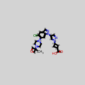 CC1(N2CCN(c3cc4c(cnn4-c4cnn(C5CC(C(=O)O)C5)c4)cc3Cl)CC2)COC1